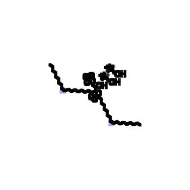 CCCCCCCC/C=C\CCCCCCCC(=O)OC(C(=O)CCCCCCC/C=C\CCCCCCCC)C(O)COP(=O)([O-])[O-].C[N+](C)(C)CCO.C[N+](C)(C)CCO